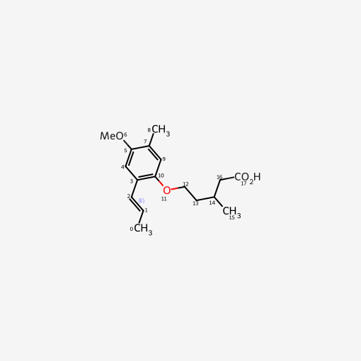 C/C=C/c1cc(OC)c(C)cc1OCCC(C)CC(=O)O